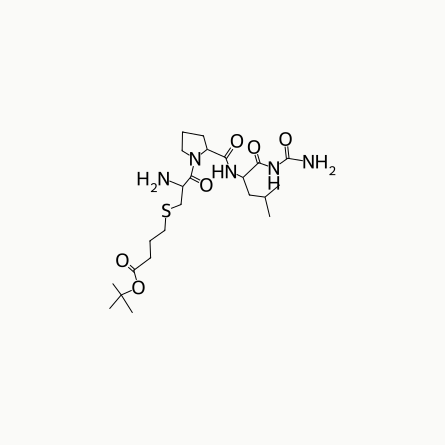 CC(C)CC(NC(=O)C1CCCN1C(=O)C(N)CSCCCC(=O)OC(C)(C)C)C(=O)NC(N)=O